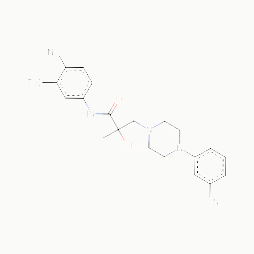 CC(O)(CN1CCN(c2cccc(C#N)c2)CC1)C(=O)Nc1ccc(C#N)c(C(F)(F)F)c1